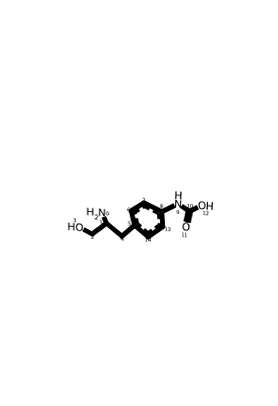 NC(CO)Cc1ccc(NC(=O)O)cc1